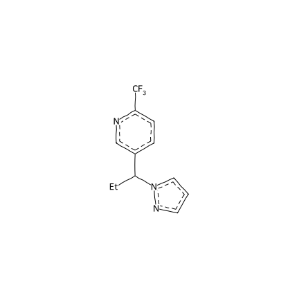 CCC(c1ccc(C(F)(F)F)nc1)n1cccn1